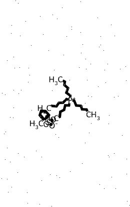 CCCCCC[P+](CCCCCC)(CCCCCC)CCCCCC.Cc1ccccc1S(=O)(=O)[O-]